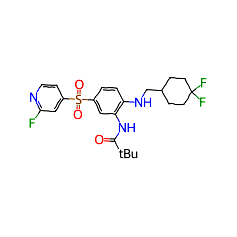 CC(C)(C)C(=O)Nc1cc(S(=O)(=O)c2ccnc(F)c2)ccc1NCC1CCC(F)(F)CC1